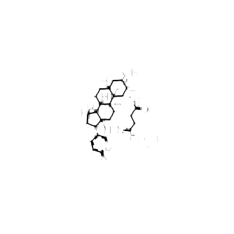 C[C@]12CC[C@H](O)C[C@H]1CC[C@@H]1[C@@H]2CC[C@]2(C)[C@@H](c3ccc(=O)oc3)C[C@H]3O[C@]132.NC(=O)CC[C@H](N)C(=O)O